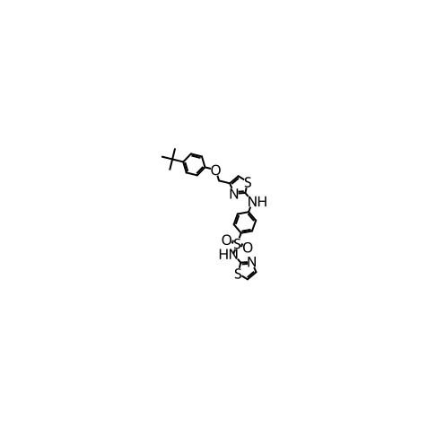 CC(C)(C)c1ccc(OCc2csc(Nc3ccc(S(=O)(=O)Nc4nccs4)cc3)n2)cc1